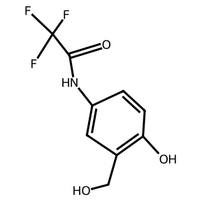 O=C(Nc1ccc(O)c(CO)c1)C(F)(F)F